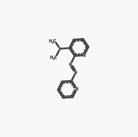 CN(C)c1cccnc1N=Nc1ccccn1